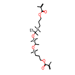 C=C(C)C(=O)OCCC[Si](C)(C)OC(C)[Si](C)(C)OC(C)(CC)[Si](C)(C)CCCOC(=O)C(=C)C